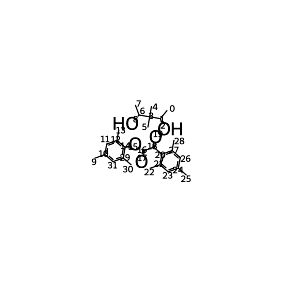 CC(O)C(C)(C)C(C)O.Cc1cc(C)c(OC(=O)C(=O)c2c(C)cc(C)cc2C)c(C)c1